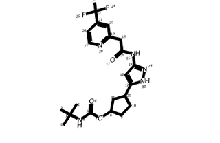 CC(C)(C)NC(=O)OC1CCC(c2cc(NC(=O)Cc3cc(C(F)(F)F)ccn3)n[nH]2)C1